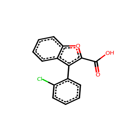 O=C(O)c1oc2ccccc2c1-c1ccccc1Cl